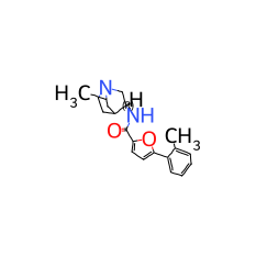 Cc1ccccc1-c1ccc(C(=O)N[C@H]2CN3CCC2CC3C)o1